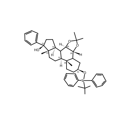 CC1(C)O[C@@H]2C3[C@H](CC[C@@]4(C)[C@H]3CC[C@@]4(O)c3ccccc3)[C@@]3(C)CC[C@H](O[Si](c4ccccc4)(c4ccccc4)C(C)(C)C)CC3[C@H]2O1